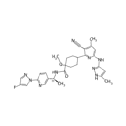 COC1(C(=O)N[C@@H](C)c2ccc(-n3cc(F)cn3)nc2)CCC(c2nc(Nc3cc(C)[nH]n3)cc(C)c2C#N)CC1